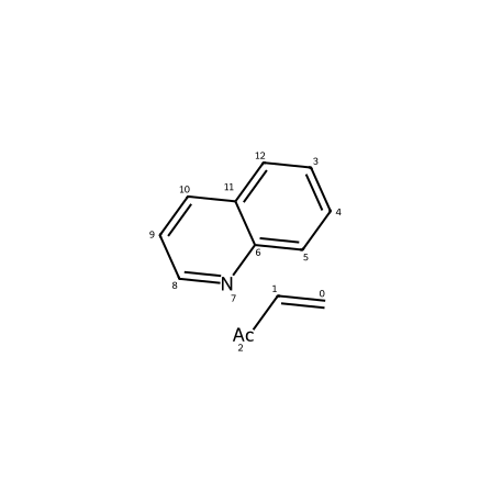 C=CC(C)=O.c1ccc2ncccc2c1